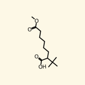 COC(=O)CCCCCC(C(=O)O)C(C)(C)C